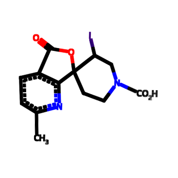 Cc1ccc2c(n1)C1(CCN(C(=O)O)CC1I)OC2=O